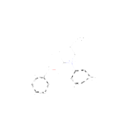 COCCN(c1cccc(C)c1)C(C=O)OCc1ccccc1